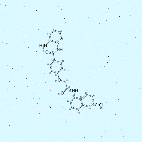 Nc1ccccc1NC(=O)c1ccc(OCC(=O)Nc2ccnc3cc(Cl)ccc23)cc1